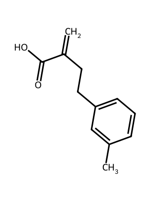 C=C(CCc1cccc(C)c1)C(=O)O